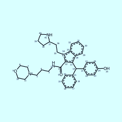 O=C(NCCCN1CCOCC1)c1c(C(c2ccccc2)c2ccc(O)cc2)c2ccccc2n1CCC1CCCN1